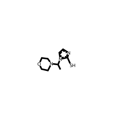 CC(N1CCOCC1)n1ccnc1S